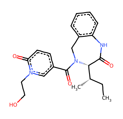 CC[C@H](C)[C@H]1C(=O)Nc2ccccc2CN1C(=O)c1ccc(=O)n(CCO)c1